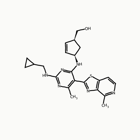 Cc1nc(NCC2CC2)nc(N[C@H]2C=C[C@@H](CO)C2)c1-c1nc2c(C)nccc2s1